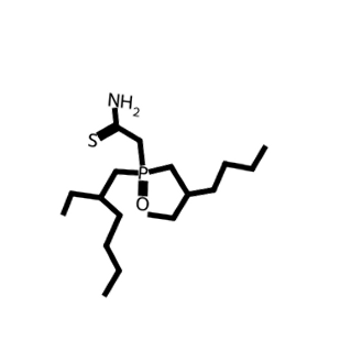 CCCCC(CC)CP(=O)(CC(N)=S)CC(CC)CCCC